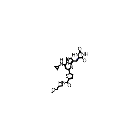 COCCCNC(=O)C1=CCC(c2cc(NC3CC3)n3ncc(/C=C4\NC(=O)NC4=O)c3n2)S1